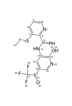 CCSc1cccnc1C(=P)Nc1cc([S+]([O-])C(F)(F)F)cnc1O